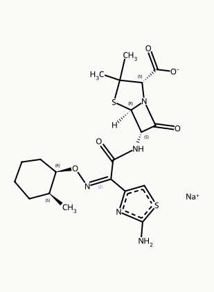 C[C@H]1CCCC[C@H]1O/N=C(\C(=O)N[C@H]1C(=O)N2[C@@H]1SC(C)(C)[C@@H]2C(=O)[O-])c1csc(N)n1.[Na+]